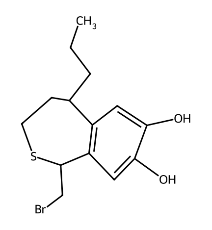 CCCC1CCSC(CBr)c2cc(O)c(O)cc21